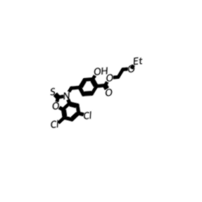 CCOCCOC(=O)c1ccc(Cn2c(=S)oc3c(Cl)cc(Cl)cc32)cc1O